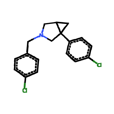 Clc1ccc(CN2CC3CC3(c3ccc(Cl)cc3)C2)cc1